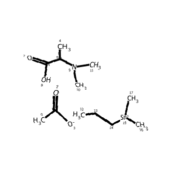 CC(=O)[O-].CC(C(=O)O)N(C)C.CC[CH2][Sn+]([CH3])[CH3]